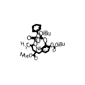 COC(=O)[C@](N)(Cc1ccc(OC(=O)OCC(C)C)c(OC(=O)OCC(C)C)c1)CC(C)OC(=O)Oc1ccccc1